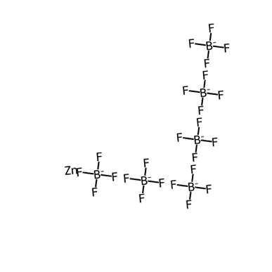 F[B-](F)(F)F.F[B-](F)(F)F.F[B-](F)(F)F.F[B-](F)(F)F.F[B-](F)(F)F.F[B-](F)(F)F.[Zn]